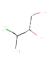 CC(Cl)C(O)CO